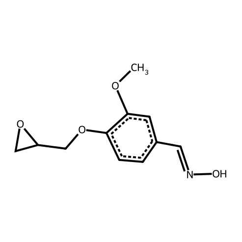 COc1cc(C=NO)ccc1OCC1CO1